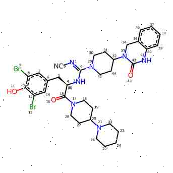 N#CN=C(N[C@H](Cc1cc(Br)c(O)c(Br)c1)C(=O)N1CCC(N2CCCCC2)CC1)N1CCC(N2Cc3ccccc3NC2=O)CC1